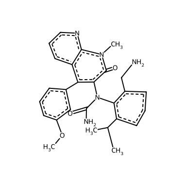 COc1cccc(-c2c(N(C(N)=O)c3c(CN)cccc3C(C)C)c(=O)n(C)c3ncccc23)c1